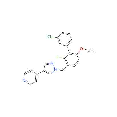 COc1ccc(Cn2cc(-c3ccncc3)cn2)c(F)c1-c1cccc(Cl)c1